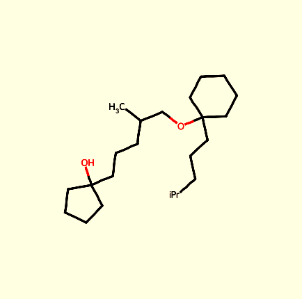 CC(C)CCCC1(OCC(C)CCCC2(O)CCCC2)CCCCC1